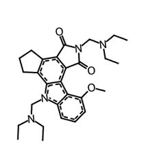 CCN(CC)CN1C(=O)c2c3c(c4c(c2C1=O)c1c(OC)cccc1n4CN(CC)CC)CCC3